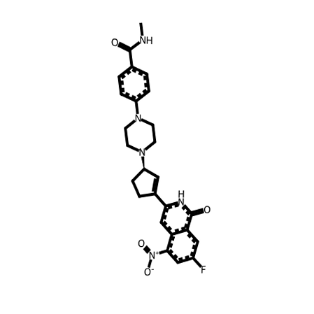 CNC(=O)c1ccc(N2CCN([C@H]3C=C(c4cc5c([N+](=O)[O-])cc(F)cc5c(=O)[nH]4)CC3)CC2)cc1